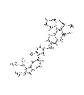 CC(=O)c1c(C2CNCCO2)c2ccc(Nc3ncc(Cl)c(-c4ccc5nn(C)c(C(C)C)c5c4)n3)cc2oc1=O